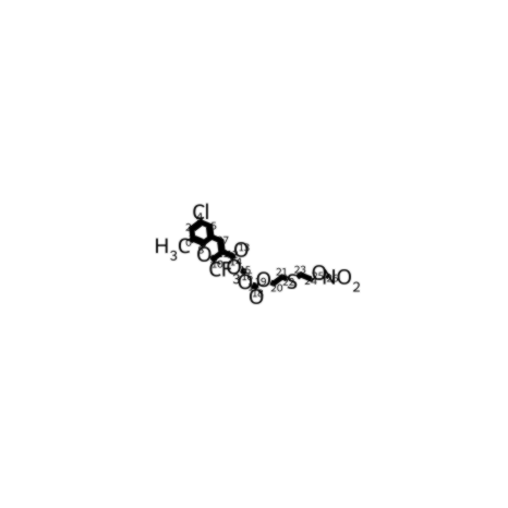 Cc1cc(Cl)cc2c1OC(C(F)(F)F)C(C(=O)OCOC(=O)OCCSCCO[N+](=O)[O-])=C2